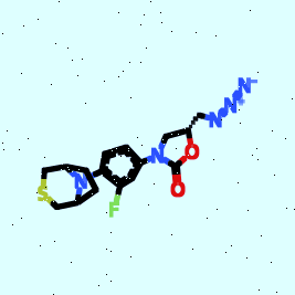 [N-]=[N+]=NC[C@H]1CN(c2ccc(N3C4CCC3CSC4)c(F)c2)C(=O)O1